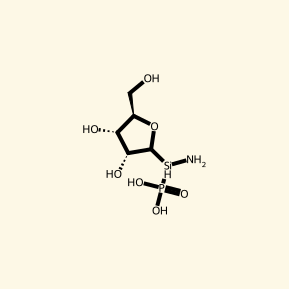 N[SiH](C1O[C@H](CO)[C@@H](O)[C@H]1O)P(=O)(O)O